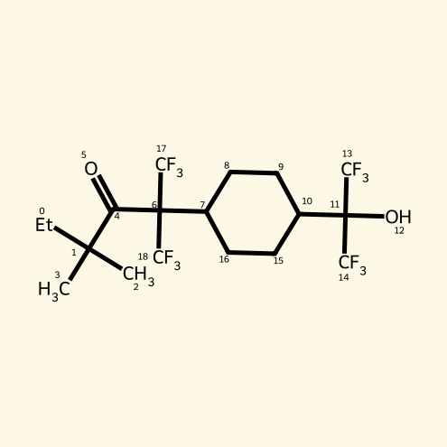 CCC(C)(C)C(=O)C(C1CCC(C(O)(C(F)(F)F)C(F)(F)F)CC1)(C(F)(F)F)C(F)(F)F